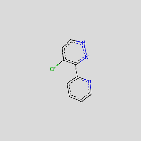 Clc1ccnnc1-c1ccccn1